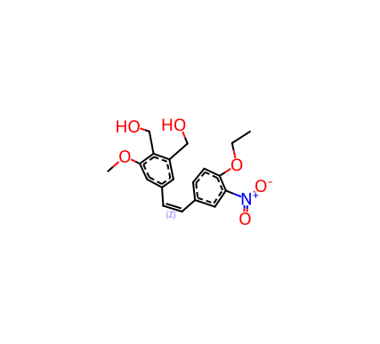 CCOc1ccc(/C=C\c2cc(CO)c(CO)c(OC)c2)cc1[N+](=O)[O-]